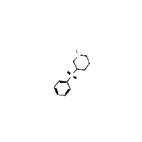 CC(C)(C)N1CCCC(S(=O)(=O)c2ccccc2)C1